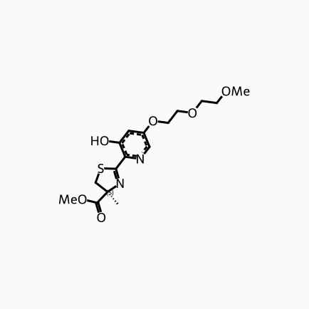 COCCOCCOc1cnc(C2=N[C@@](C)(C(=O)OC)CS2)c(O)c1